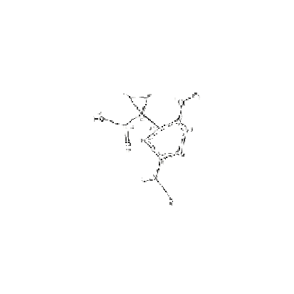 COc1ccc(C(C)C)cc1C1(C(=O)O)CC1